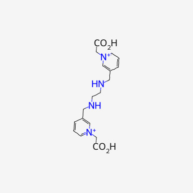 O=C(O)C[n+]1cccc(CNCCNCc2ccc[n+](CC(=O)O)c2)c1